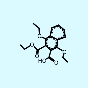 CCOC(=O)c1c(C(=O)O)c(OCC)c2ccccc2c1OCC